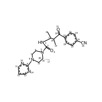 CC(NC(=O)N1CCN(c2ncccn2)C[C@H]1C)C(C)C(=O)c1ccc(C#N)cc1